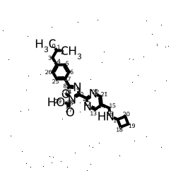 CC(C)Cc1ccc(-c2nc(-c3ncc(CNC4CCC4)cn3)no2)cc1.O=CO